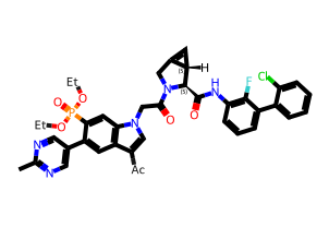 CCOP(=O)(OCC)c1cc2c(cc1-c1cnc(C)nc1)c(C(C)=O)cn2CC(=O)N1CC2=C[C@@H]2[C@H]1C(=O)Nc1cccc(-c2ccccc2Cl)c1F